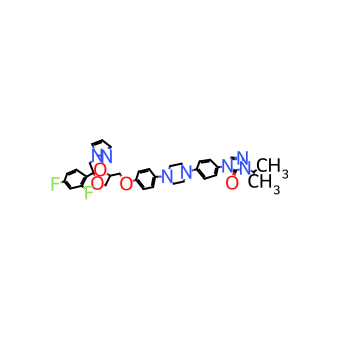 CC(C)n1ncn(-c2ccc(N3CCN(c4ccc(OCC5COC(Cn6cccn6)(c6ccc(F)cc6F)O5)cc4)CC3)cc2)c1=O